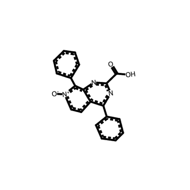 O=C(O)c1nc(-c2ccccc2)c2cc[n+]([O-])c(-c3ccccc3)c2n1